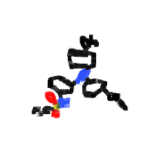 Cc1ccc(N(c2ccc(C)cc2)c2cccc(NS(=O)(=O)C(F)(F)F)c2)cc1